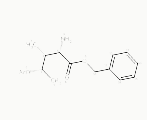 CC(=O)O[C@@H](C)[C@H](C)[C@H](N)C(=O)OCc1ccccc1